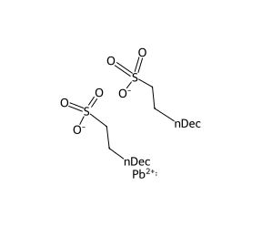 CCCCCCCCCCCCS(=O)(=O)[O-].CCCCCCCCCCCCS(=O)(=O)[O-].[Pb+2]